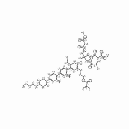 C=C(C)C(=O)OCCCc1cc(-c2ccc(-c3ccc(C4CCC(CCCCC)CC4)cc3F)cc2F)c(CC)cc1OCC(COC(=O)CC(=O)OC)(COC(=O)CC(=O)OC)COC(=O)C(=C)C